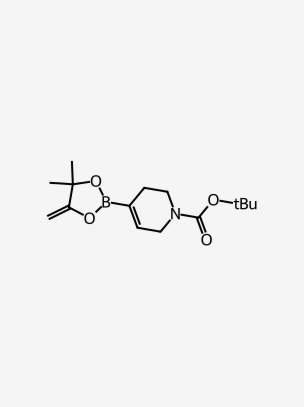 C=C1OB(C2=CCN(C(=O)OC(C)(C)C)CC2)OC1(C)C